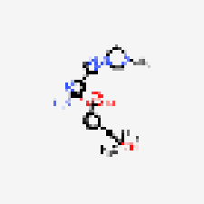 CN1CCCN(n2cc(-c3cnc(N)c(OC(O)(O)c4cccc(C#CC(C)(C)O)c4)c3)cn2)CC1